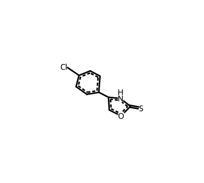 S=c1[nH]c(-c2ccc(Cl)cc2)co1